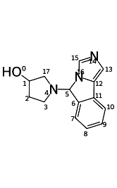 OC1CCN(C2c3ccccc3-c3cncn32)C1